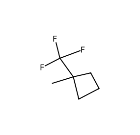 CC1(C(F)(F)F)CCC1